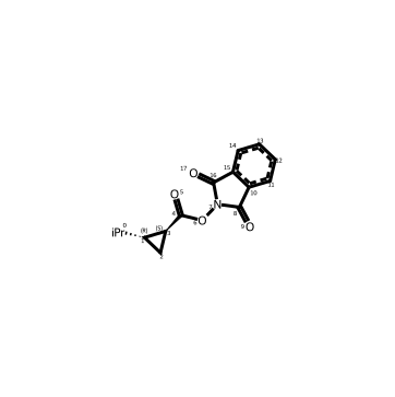 CC(C)[C@H]1C[C@@H]1C(=O)ON1C(=O)c2ccccc2C1=O